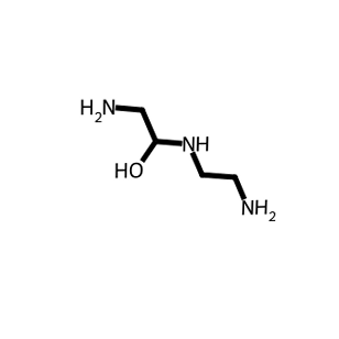 NCCNC(O)CN